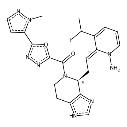 CC(I)C1=CC=CN(N)/C1=C\C[C@H]1c2nc[nH]c2CCN1C(=O)c1nnc(-c2ccnn2C)o1